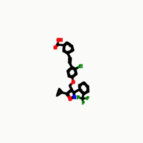 O=C(O)c1cccc(C#Cc2ccc(OCc3c(-c4ccccc4C(F)(F)F)noc3C3CC3)cc2Cl)c1